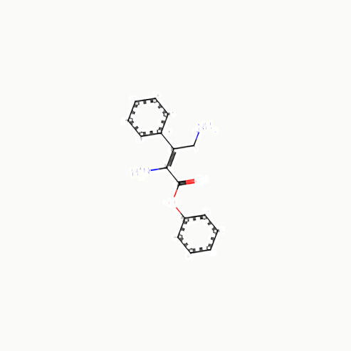 NCC(=C(N)C(=O)Oc1ccccc1)c1ccccc1